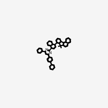 CC1(C)c2ccc3ccccc3c2-c2cccc(-c3ccc(-c4nc(-c5ccccc5)cc(-c5ccc(-c6ccccc6)cc5)n4)c4ccccc34)c21